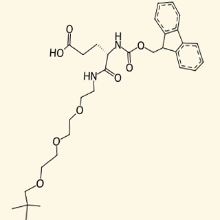 CC(C)(C)COCCOCCOCCNC(=O)[C@H](CCC(=O)O)NC(=O)OCC1c2ccccc2-c2ccccc21